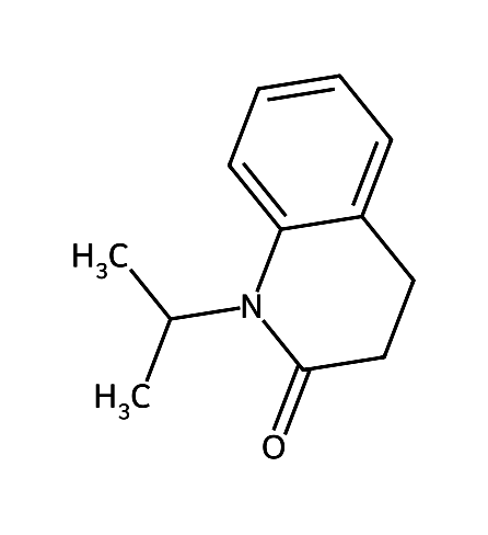 CC(C)N1C(=O)CCc2ccccc21